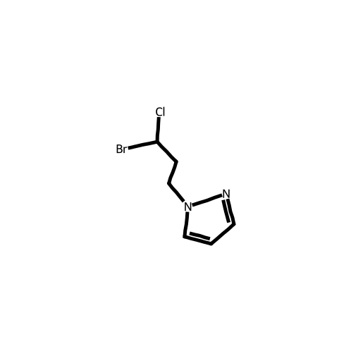 ClC(Br)CCn1cccn1